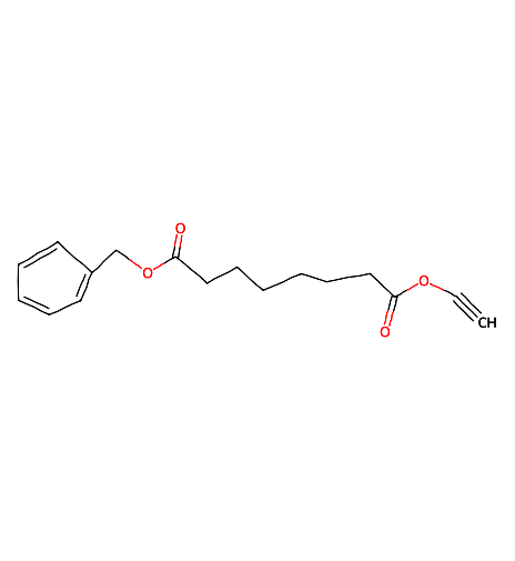 C#COC(=O)CCCCCCC(=O)OCc1ccccc1